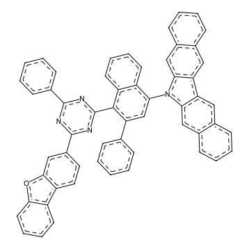 c1ccc(-c2nc(-c3ccc4c(c3)oc3ccccc34)nc(-c3c(-c4ccccc4)cc(-n4c5cc6ccccc6cc5c5cc6ccccc6cc54)c4ccccc34)n2)cc1